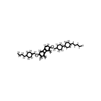 CCCCCC1CCC(C2CCC(COc3ccc4c(c3F)-c3c-4cc(OCC4CCC(CCCC)CC4)c(F)c3F)CC2)CC1